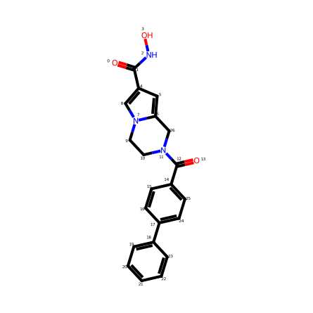 O=C(NO)c1cc2n(c1)CCN(C(=O)c1ccc(-c3ccccc3)cc1)C2